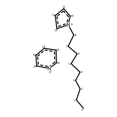 CCCCCCCCCn1cccc1.c1ccncc1